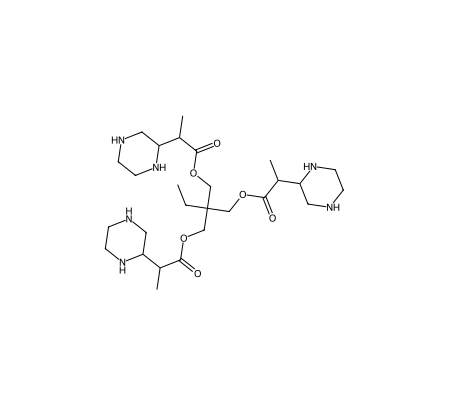 CCC(COC(=O)C(C)C1CNCCN1)(COC(=O)C(C)C1CNCCN1)COC(=O)C(C)C1CNCCN1